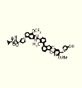 COc1nc(O[C@H]2CCc3c(-c4cccc(-c5nc6cc7c(c(OC(F)(F)F)c6o5)CC[C@H]7N5CC[C@@H](C(=O)NS(=O)(=O)C6CC6)C5)c4C)cccc32)c(Cl)cc1CN1CC[C@@H](O)C1